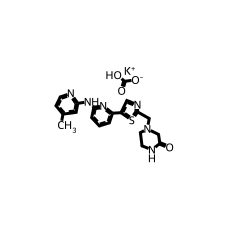 Cc1ccnc(Nc2cccc(-c3cnc(CN4CCNC(=O)C4)s3)n2)c1.O=C([O-])O.[K+]